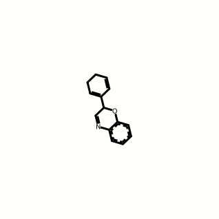 C1=CC(C2C=Nc3ccccc3O2)=CCC1